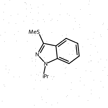 CSc1nn(C(C)C)c2ccccc12